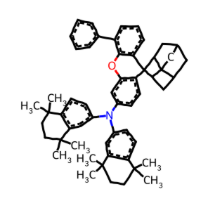 CC1(C)CCC(C)(C)c2cc(N(c3ccc4c(c3)Oc3c(-c5ccccc5)cccc3C43C4CC5CC6CC3C64C5)c3ccc4c(c3)C(C)(C)CCC4(C)C)ccc21